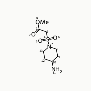 COC(=O)CS(=O)(=O)N1CCC(N)CC1